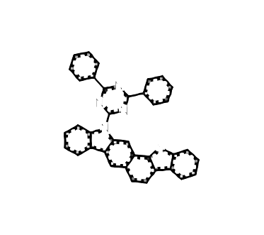 c1ccc(-c2nc(-c3ccccc3)nc(-n3c4ccccc4c4cc5ccc6c7ccccc7sc6c5cc43)n2)cc1